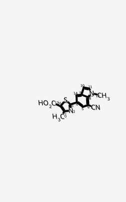 Cc1nc(-c2cc(C#N)c3c(ccn3C)c2)sc1C(=O)O